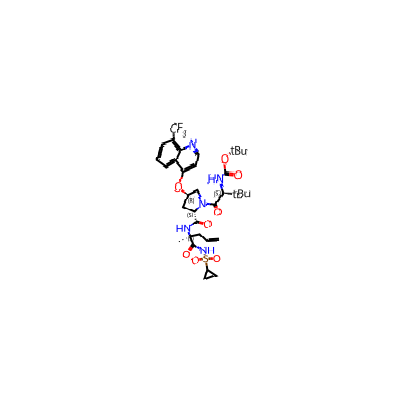 C=CC[C@](C)(NC(=O)[C@@H]1C[C@@H](Oc2ccnc3c(C(F)(F)F)cccc23)CN1C(=O)[C@@H](NC(=O)OC(C)(C)C)C(C)(C)C)C(=O)NS(=O)(=O)C1CC1